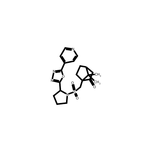 CC1(C)C2CCC1(CS(=O)(=O)N1CCCC1c1nnc(-c3ccncc3)o1)C(=O)C2